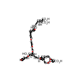 O=C(O)CC[C@H](NC(=O)N[C@@H](CCCCNC(=O)Nc1cccc(-c2cn(CCOCCOCCOCCOCCOCCOCCC(=O)N[C@@H](CCCCNC(=S)Nc3cc(CN4CCOCCOCCN(Cc5cccc(C(=O)O)n5)CCOCCOCC4)nc(C(=O)O)c3)C(=O)N[C@@H](CCCCNC(=O)Cc3ccc(I)cc3)C(=O)O)nn2)c1)C(=O)O)C(=O)O